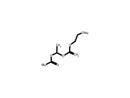 C=C(OC(C)OC(=O)C(C)(C)C)SCCOC